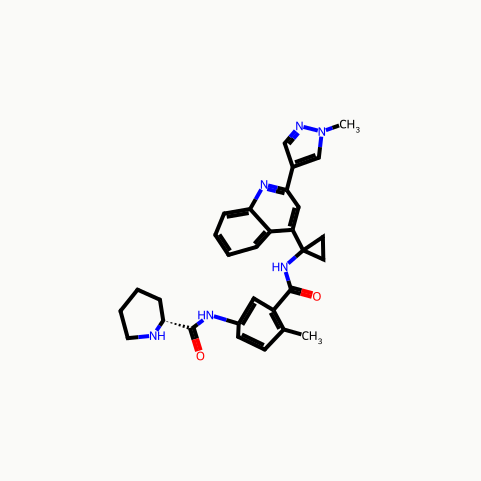 Cc1ccc(NC(=O)[C@H]2CCCCN2)cc1C(=O)NC1(c2cc(-c3cnn(C)c3)nc3ccccc23)CC1